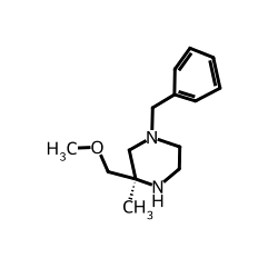 COC[C@@]1(C)CN(Cc2ccccc2)CCN1